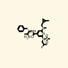 CC1CC1CN(C)c1cc(C(=O)N[C@@H](Cc2ccccc2)C(C)N)cc(N(CC(F)F)S(C)(=O)=O)n1